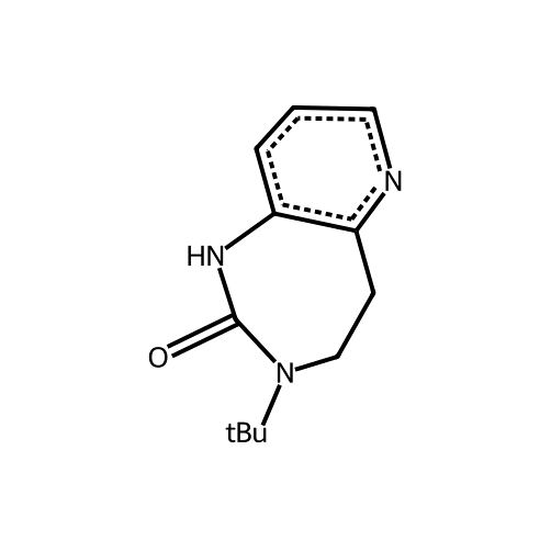 CC(C)(C)N1CCc2ncccc2NC1=O